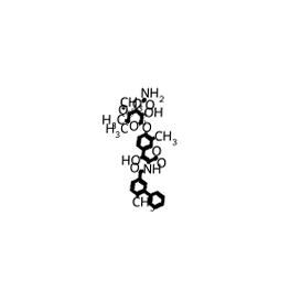 CO[C@@H]1[C@@H](OC(N)=O)[C@@H](O)[C@H](Oc2ccc3c(O)c(NC(=O)c4ccc(C)c(-c5ccccc5)c4)c(=O)oc3c2C)OC1(C)C